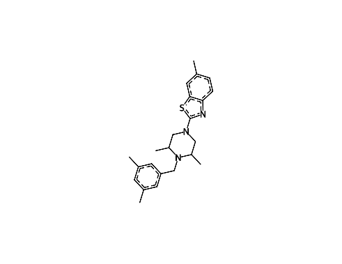 Cc1cc(C)cc(CN2C(C)CN(c3nc4ccc(C)cc4s3)CC2C)c1